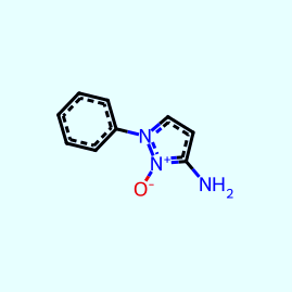 Nc1ccn(-c2ccccc2)[n+]1[O-]